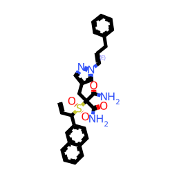 C=CC(c1ccc2ccccc2c1)S(=O)(=O)C(Cc1cnn(/C=C/Cc2ccccc2)c1)(C(N)=O)C(N)=O